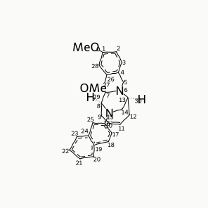 COc1ccc(CN2C[C@@H]3C/C=C\C[C@H]2CN3c2ccc3ccccc3c2)c(OC)c1